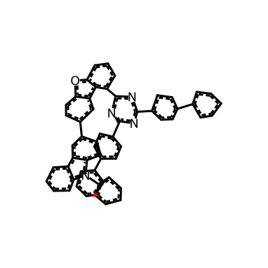 c1ccc(-c2ccc(-c3nc(-c4ccc(-c5ccccc5)cc4)nc(-c4cccc5oc6ccc(-c7ccc8c(c7)c7ccccc7n8-c7ccccc7)cc6c45)n3)cc2)cc1